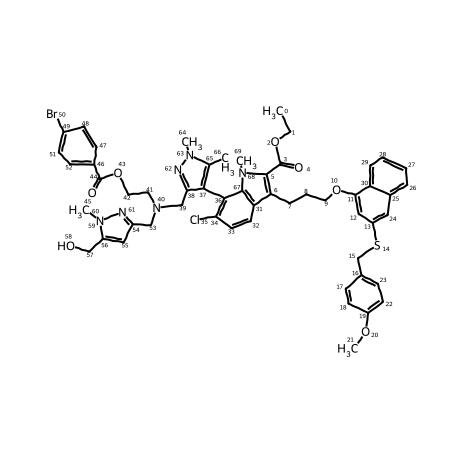 CCOC(=O)c1c(CCCOc2cc(SCc3ccc(OC)cc3)cc3ccccc23)c2ccc(Cl)c(-c3c(CN(CCOC(=O)c4ccc(Br)cc4)Cc4cc(CO)n(C)n4)nn(C)c3C)c2n1C